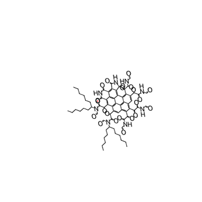 CCCCCCC(CCCCCC)N(C=O)C(=O)C(=O)c1cc2c(C(=O)C(=O)NC=O)c(C(=O)C(=O)NC=O)c3cc(C(=O)C(=O)NC=O)c(C(=O)C(=O)NC=O)c4c3c2c2c1c(C(=O)C(=O)N(C=O)C(CCCCCC)CCCCCC)c1c3c(c5c(=O)[nH]c(=O)c5c4c32)C(=O)NC1=O